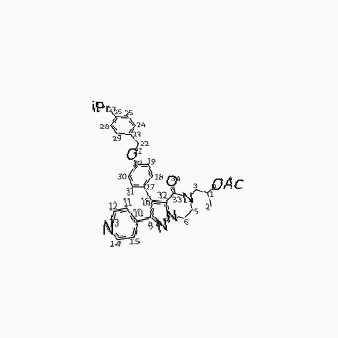 CC(=O)OC(C)CN1CCn2nc(-c3ccncc3)c(-c3ccc(OCc4ccc(C(C)C)cc4)cc3)c2C1=O